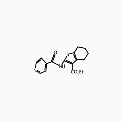 CCOC(=O)c1c(NC(=O)c2ccncc2)sc2c1CCCC2